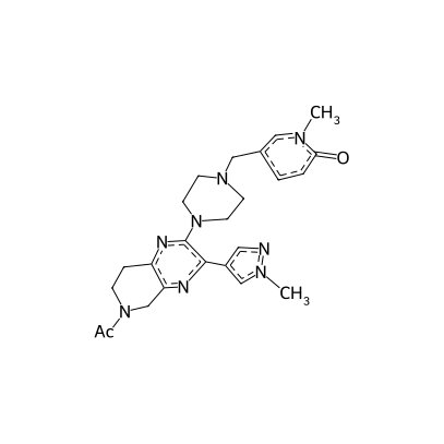 CC(=O)N1CCc2nc(N3CCN(Cc4ccc(=O)n(C)c4)CC3)c(-c3cnn(C)c3)nc2C1